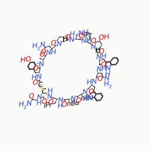 CCCC[C@H]1C(=O)N(C)[C@@H](CCCC)C(=O)N[C@@H](CC(C)C)C(=O)N[C@H](C(=O)NCC(N)=O)CSCC(=O)N[C@@H](Cc2ccc(O)cc2)C(=O)N(C)[C@@H](C)C(=O)N[C@@H](CC(N)=O)C(=O)N2CCC[C@H]2C(=O)N[C@@H](CN)C(=O)N[C@@H](CC(C)C)C(=O)N2C[C@@H](O)CC[C@H]2C(=O)N[C@@H](Cc2c[nH]c3ccccc23)C(=O)N[C@@H](CCN)C(=O)N[C@@H](Cc2c[nH]c3ccccc23)C(=O)N1C